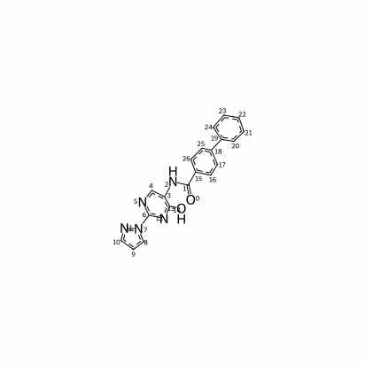 O=C(Nc1cnc(-n2cccn2)nc1O)c1ccc(-c2ccccc2)cc1